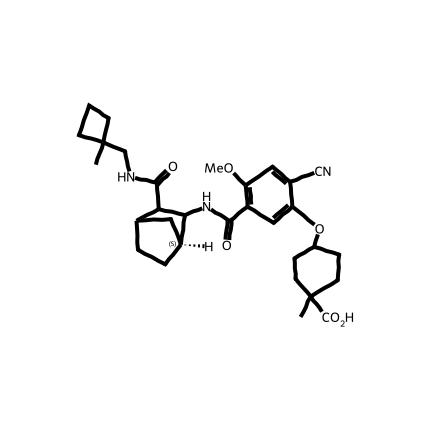 COc1cc(C#N)c(OC2CCC(C)(C(=O)O)CC2)cc1C(=O)NC1C(C(=O)NCC2(C)CCC2)C2CC[C@H]1C2